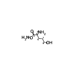 NOC(=O)C(N)CCCO